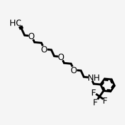 C#CCOCCOCCOCCOCCNCc1ccccc1C(F)(F)F